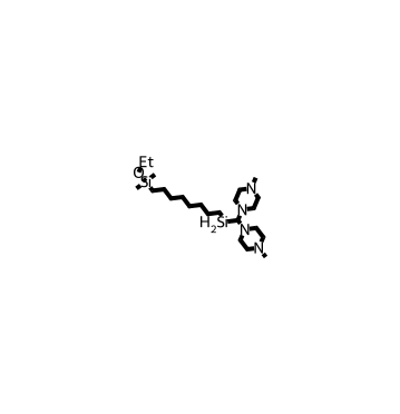 CCO[Si](C)(C)CCCCCCCC[SiH2]C(N1CCN(C)CC1)N1CCN(C)CC1